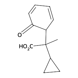 CC(C(=O)O)(C1CC1)C1C=CC=CC1=O